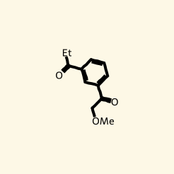 CCC(=O)c1cccc(C(=O)COC)c1